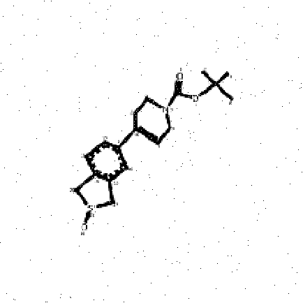 CC(C)(C)OC(=O)N1CC=C(c2ccc3c(c2)C[S+]([O-])C3)CC1